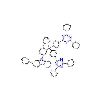 c1ccc(-c2ccc3c4ccccc4n(-c4ccc5c(c4)C(c4ccc(-c6nc(-c7ccccc7)nc(-c7ccccc7)n6)cc4)(c4ccc(-c6nc(-c7ccccc7)nc(-c7ccccc7)n6)cc4)c4ccccc4-5)c3c2)cc1